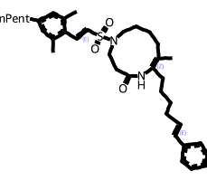 CCCCCc1cc(C)c(/C=C/S(=O)(=O)N2CCCC/C(C)=C(/CCCC/C=C/c3ccccc3)NC(=O)CC2)c(C)c1